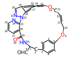 O=CC1Cc2ccc(cc2)OC/C=C/COc2ccc3c(cnn3-c3ncccc3C(=O)N1)c2